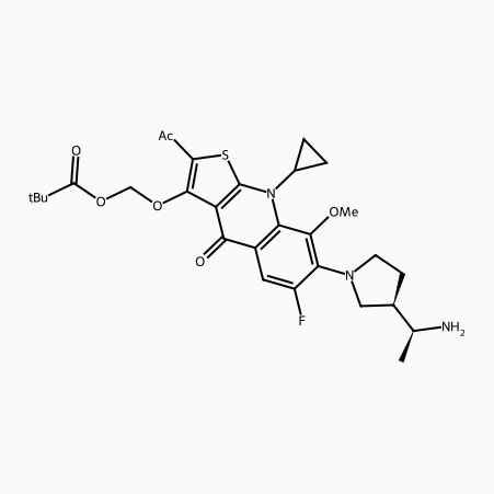 COc1c(N2CC[C@@H]([C@H](C)N)C2)c(F)cc2c(=O)c3c(OCOC(=O)C(C)(C)C)c(C(C)=O)sc3n(C3CC3)c12